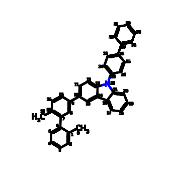 Cc1ccccc1-c1cc(-c2ccc3c(c2)c2ccccc2n3-c2ccc(-c3ccccc3)cc2)ccc1C